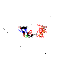 C[C@@]1(Cl)C[C@@H](COP(=O)(O)OP(=O)(O)OP(=O)(O)O)O[C@H]1n1ccc(=O)[nH]c1=O